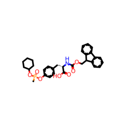 CP(=O)(Oc1ccc(C[C@H](NC(=O)OCC2c3ccccc3-c3ccccc32)C(=O)O)cc1)OC1CCCCC1